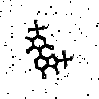 Cn1c(C(F)(F)F)cc(=O)n(-c2ccc(Cl)c3c2nc(C(F)(F)F)n3F)c1=O